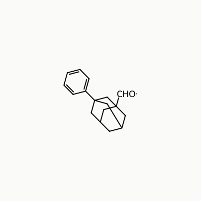 O=[C]C12CC3CC(C1)CC(c1ccccc1)(C3)C2